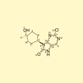 C[C@]1(O)CC[C@@H](n2c(=O)[nH]c3cnc(Cl)nc32)CC1